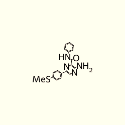 CSc1ccc(-c2cnc(N)c(C(=O)Nc3ccccc3)n2)cc1